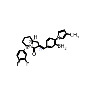 Bc1cc(/C=C2\C[C@@H]3CCC[C@@H](c4ccc(F)c(F)c4)N3C2=O)ccc1-n1ccc(C)c1